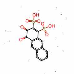 O=C1C(=O)c2cc3ccccc3cc2C(S(=O)(=O)O)=C1S(=O)(=O)O